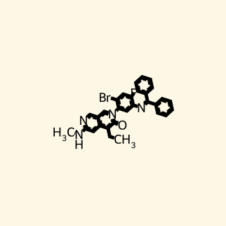 CCc1c(=O)n(-c2cc(N=C(c3ccccc3)c3ccccc3)c(F)cc2Br)cc2cnc(NC)cc12